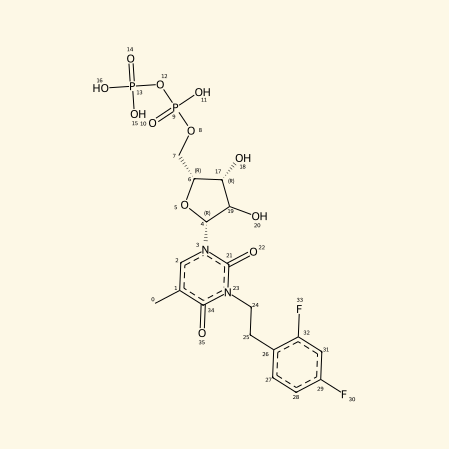 Cc1cn([C@@H]2O[C@H](COP(=O)(O)OP(=O)(O)O)[C@H](O)C2O)c(=O)n(CCc2ccc(F)cc2F)c1=O